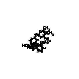 B[C@@H]1CC(SC2C=CC3[C@H]4Cc5cccc(OC)c5[C@@]3(CCN4O)C2)OC(C)C1C